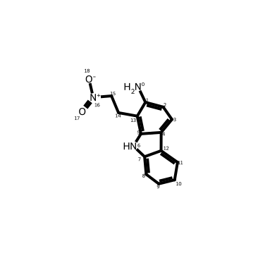 Nc1ccc2c([nH]c3ccccc32)c1CC[N+](=O)[O-]